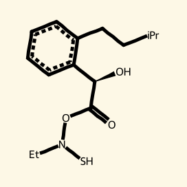 CCN(S)OC(=O)[C@H](O)c1ccccc1CCC(C)C